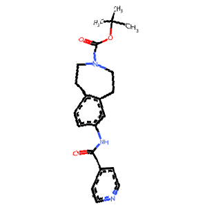 CC(C)(C)OC(=O)N1CCc2ccc(NC(=O)c3ccncc3)cc2CC1